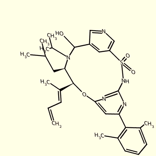 C=C/C=C(\C)[C@@H]1Oc2cc(-c3c(C)cccc3C)nc(n2)NS(=O)(=O)c2cncc(c2)C(O)N(C(C)C)[C@@H]1CC(C)C